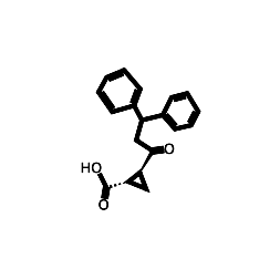 O=C(O)[C@H]1C[C@@H]1C(=O)CC(c1ccccc1)c1ccccc1